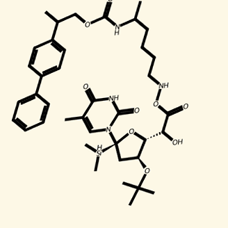 Cc1cn([C@@]2([SiH](C)C)C[C@H](OC(C)(C)C)[C@@H](C(O)C(=O)ONCCCCC(C)NC(=O)OCC(C)c3ccc(-c4ccccc4)cc3)O2)c(=O)[nH]c1=O